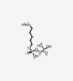 CCCCCCCCCCCCCCOP(O)(=S)OOP(=O)(O)O